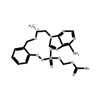 C[C@H](Cn1cnc2c(N)ncnc21)OCc1ccccc1OOP(=O)(O)OCOC(=O)C(C)(C)C